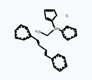 C(C=Cc1ccccc1)=Cc1ccccc1.NC[SiH](C1=CC=CC1)c1ccccc1.[Ti]